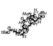 CCC(NC(=O)CCCNC(=O)OC(C)(C)C)C(=O)NC(CCNC(=O)OC(C)(C)C)C(=O)NCC(=O)NC(CCNC(=O)OC(C)(C)C)C(=O)NC(C)C(=O)NC